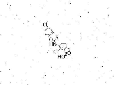 OB1OCc2ccc(NC(=S)Oc3ccc(Cl)cc3)c(Cl)c21